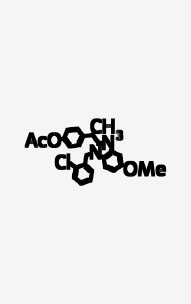 COc1ccc2c(c1)nc(C(C)c1ccc(OC(C)=O)cc1)n2Cc1ccccc1Cl